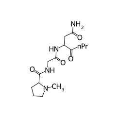 CCCC(=O)C(CC(N)=O)NC(=O)CNC(=O)C1CCCN1C